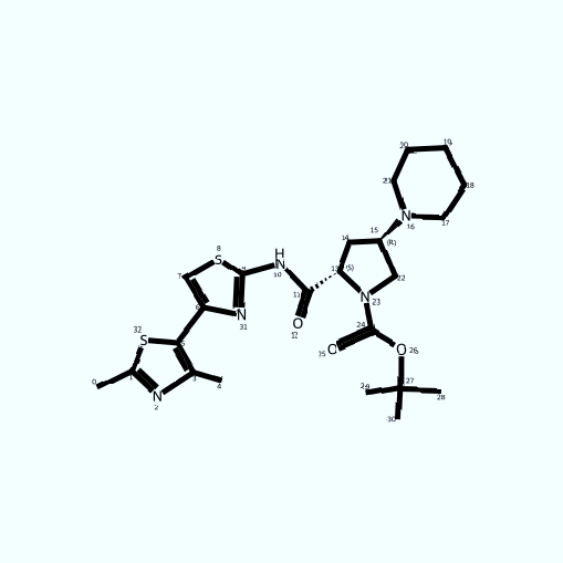 Cc1nc(C)c(-c2csc(NC(=O)[C@@H]3C[C@@H](N4CCCCC4)CN3C(=O)OC(C)(C)C)n2)s1